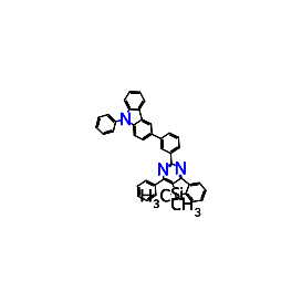 C[Si]1(C)c2ccccc2-c2nc(-c3cccc(-c4ccc5c(c4)c4ccccc4n5-c4ccccc4)c3)nc(-c3ccccc3)c21